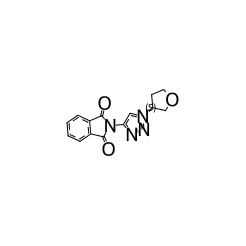 O=C1c2ccccc2C(=O)N1c1cn([C@H]2CCOC2)nn1